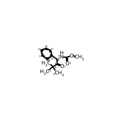 COC(=O)N[C@H](C(=O)C(C)(C)C)c1ccccc1